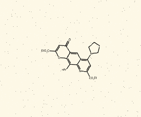 CCCc1c2nc(C(=O)OCC)cc(N3CCCC3)c2cc2c(=O)cc(C(=O)OCC)oc12